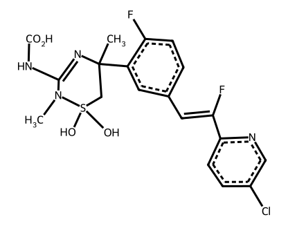 CN1C(NC(=O)O)=NC(C)(c2cc(/C=C(\F)c3ccc(Cl)cn3)ccc2F)CS1(O)O